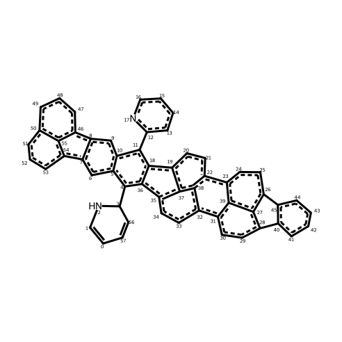 C1=CNC(c2c3cc4c(cc3c(-c3ccccn3)c3c5ccc6c7ccc8c9c(ccc(c%10ccc(c23)c5c6%10)c97)-c2ccccc2-8)c2cccc3cccc4c32)C=C1